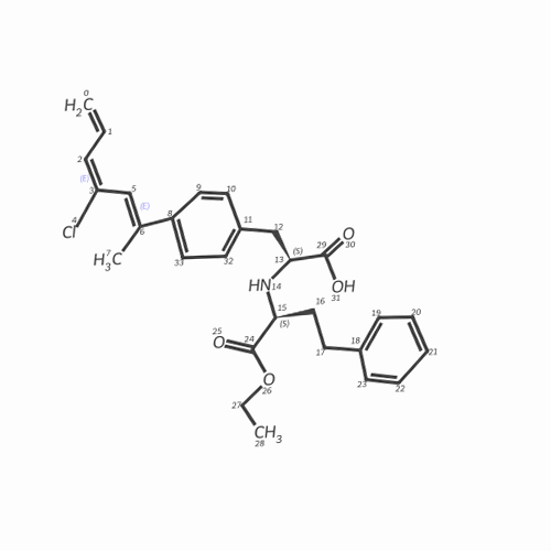 C=C/C=C(Cl)\C=C(/C)c1ccc(C[C@H](N[C@@H](CCc2ccccc2)C(=O)OCC)C(=O)O)cc1